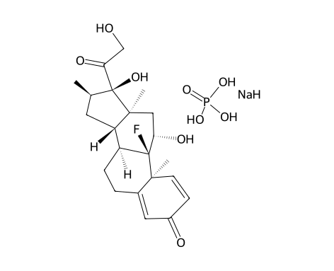 C[C@@H]1C[C@H]2[C@@H]3CCC4=CC(=O)C=C[C@]4(C)[C@@]3(F)[C@@H](O)C[C@]2(C)[C@@]1(O)C(=O)CO.O=P(O)(O)O.[NaH]